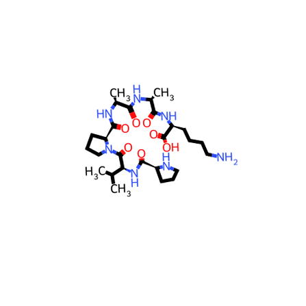 CC(C)[C@H](NC(=O)[C@@H]1CCCN1)C(=O)N1CCC[C@H]1C(=O)N[C@@H](C)C(=O)N[C@@H](C)C(=O)N[C@@H](CCCCN)C(=O)O